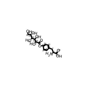 NC(Cc1ccc(OC(=O)C(O)C(O)C(O)C(O)CO)cc1)C(=O)O